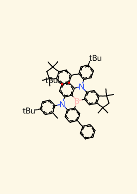 Cc1cc(C(C)(C)C)ccc1N1c2ccc(-c3ccccc3)cc2B2c3cc4c(cc3N(c3ccc(C(C)(C)C)cc3-c3ccc5c(c3)C(C)(C)CC5(C)C)c3cc(C(C)(C)C)cc1c32)C(C)(C)CC4(C)C